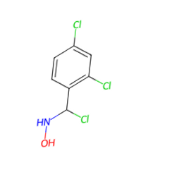 ONC(Cl)c1ccc(Cl)cc1Cl